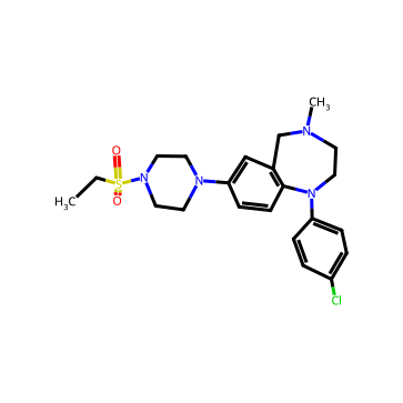 CCS(=O)(=O)N1CCN(c2ccc3c(c2)CN(C)CCN3c2ccc(Cl)cc2)CC1